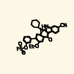 CCOc1cc2c(=O)c3c4ccc(C#N)cc4[nH]c3n(C3CCCCC3)c2cc1-c1cccc(OS(=O)(=O)F)c1